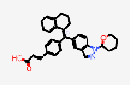 O=C(O)C=Cc1ccc(/C(=C2/CCCc3ccccc32)c2ccc3c(cnn3C3CCCCO3)c2)cc1